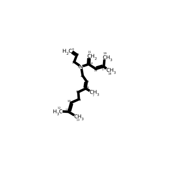 C=CCN(C/C=C(/C)CCC=C(C)C)C(=C)C=C(C)C